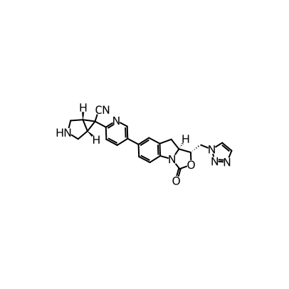 N#CC1(c2ccc(-c3ccc4c(c3)C[C@H]3[C@H](Cn5ccnn5)OC(=O)N43)cn2)[C@@H]2CNC[C@@H]21